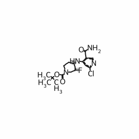 CC(C)(C)OC(=O)N1CC[C@@H](Nc2cc(Cl)ncc2C(N)=O)[C@@H](F)C1